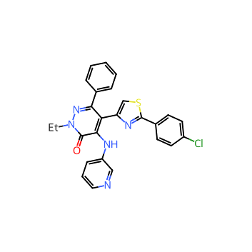 CCn1nc(-c2ccccc2)c(-c2csc(-c3ccc(Cl)cc3)n2)c(Nc2cccnc2)c1=O